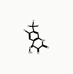 O=C1Nc2cc(C(F)(F)F)c(F)cc2C(=NO)C1=O